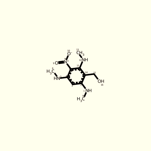 CNc1cc(NC)c([N+](=O)[O-])c(NC)c1CO